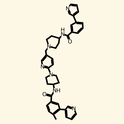 Cc1ccc(C(=O)NC2CCN(c3ccc(CN4CCC(NC(=O)c5cccc(-c6cccnc6)c5)CC4)cn3)CC2)cc1-c1cccnc1